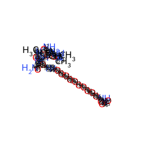 CCn1nc(C)cc1C(=O)Nc1nc2cc(C(N)=O)cc(OCCCCn3c(NC(=O)c4cc(C)nn4CC)nc4cc(C(N)=O)cc(OCCCN5CCN(CCOCCOCCOCCOCCOCCOCCOCCOCCOCCOCCNC(=O)CN6C(=O)C=CC6=O)CC5)c43)c2n1C